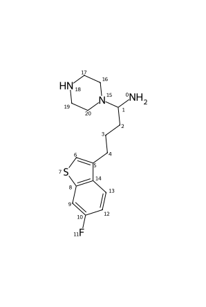 NC(CCCc1csc2cc(F)ccc12)N1CCNCC1